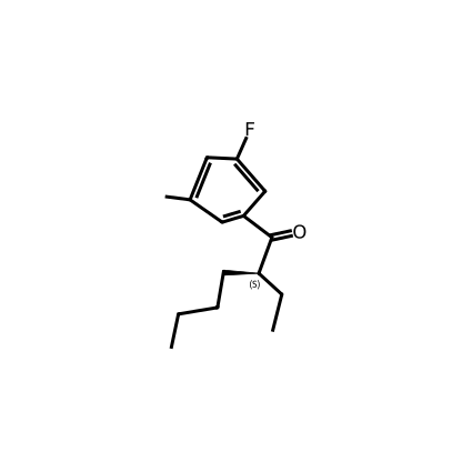 CCCC[C@H](CC)C(=O)c1cc(C)cc(F)c1